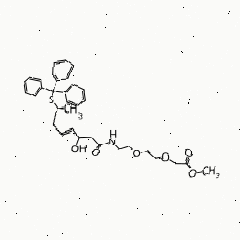 COC(=O)COCCOCCNC(=O)CC(O)/C=C/C[C@H](C)SC(c1ccccc1)(c1ccccc1)c1ccccc1